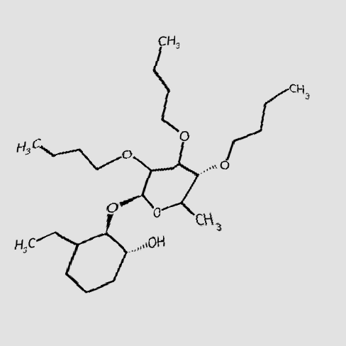 CCCCOC1C(OCCCC)[C@H](OCCCC)C(C)O[C@H]1O[C@@H]1C(CC)CCC[C@H]1O